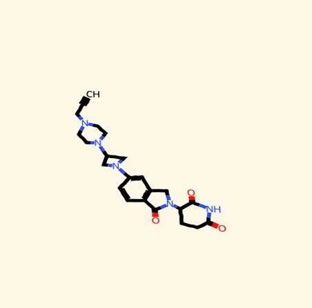 C#CCN1CCN(C2CN(c3ccc4c(c3)CN(C3CCC(=O)NC3=O)C4=O)C2)CC1